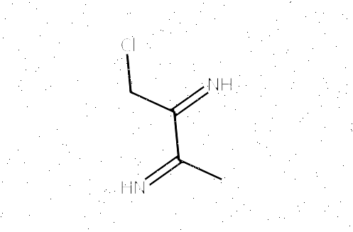 CC(=N)C(=N)CCl